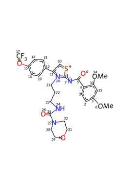 COc1ccc(C(=O)/N=c2\scc(-c3ccc(OC(F)(F)F)cc3)n2CCCNC(=O)N2CCOCC2)c(OC)c1